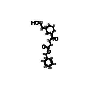 O=C(CCC(=O)N1CCCC(CCO)C1)OCc1ccccc1